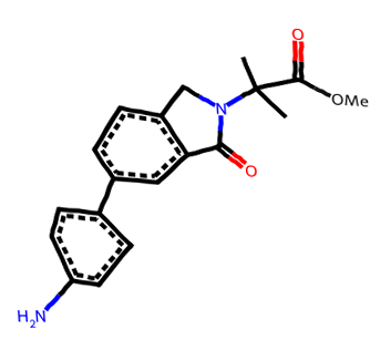 COC(=O)C(C)(C)N1Cc2ccc(-c3ccc(N)cc3)cc2C1=O